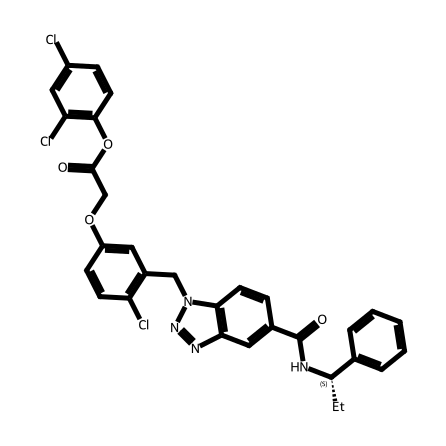 CC[C@H](NC(=O)c1ccc2c(c1)nnn2Cc1cc(OCC(=O)Oc2ccc(Cl)cc2Cl)ccc1Cl)c1ccccc1